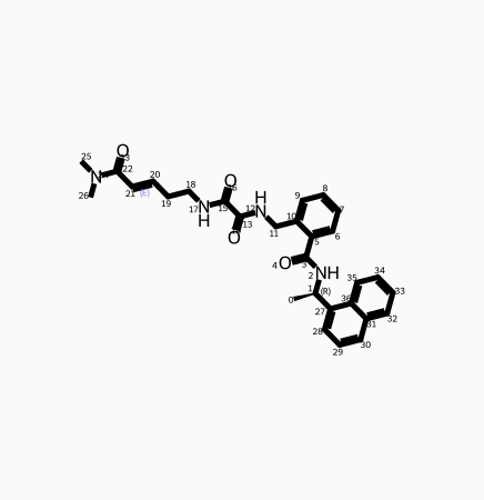 C[C@@H](NC(=O)c1ccccc1CNC(=O)C(=O)NCC/C=C/C(=O)N(C)C)c1cccc2ccccc12